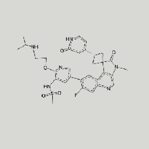 CC(C)NCCOc1ncc(-c2cc3c(cc2F)ncc2c3[C@]3(C[C@@H](c4cc[nH]c(=O)c4)C3)C(=O)N2C)cc1NS(C)(=O)=O